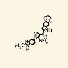 Cc1nc2cc(-n3ncc(C(=O)c4cc5cc6c(cc5[nH]4)OCCO6)c3N)ccc2[nH]1